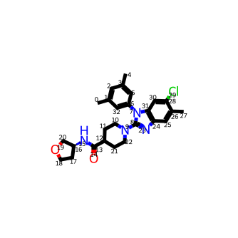 Cc1cc(C)cc(-n2c(N3CCC(C(=O)N[C@H]4CCOC4)CC3)nc3cc(C)c(Cl)cc32)c1